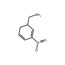 NCC1C=C([N+](=O)[O-])C=CC1